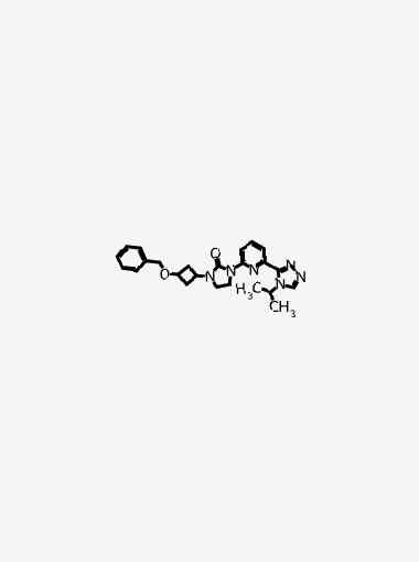 CC(C)n1cnnc1-c1cccc(N2CCN(C3CC(OCc4ccccc4)C3)C2=O)n1